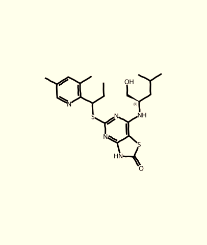 CCC(Sc1nc(N[C@@H](CO)CC(C)C)c2sc(=O)[nH]c2n1)c1ncc(C)cc1C